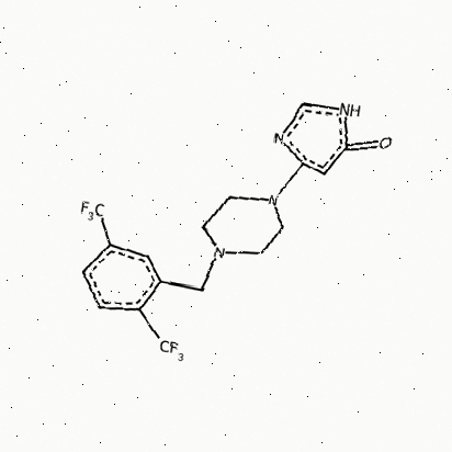 O=c1cc(N2CCN(Cc3cc(C(F)(F)F)ccc3C(F)(F)F)CC2)nc[nH]1